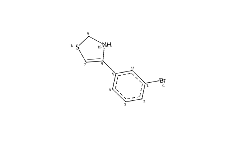 Brc1cccc(C2=CSCN2)c1